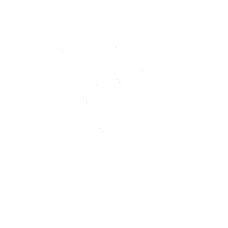 C=CC(=O)N1CCN(c2nc(OCC3CCCN3C)nc3c2CCCN(c2cccc4c(F)cccc24)C3)CC1CC#N